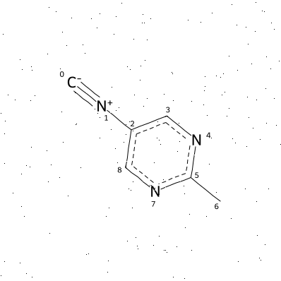 [C-]#[N+]c1cnc(C)nc1